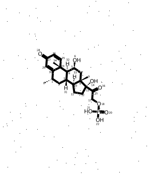 C[C@H]1C[C@@H]2[C@H]([C@@H](O)C[C@@]3(C)[C@H]2CC[C@]3(O)C(=O)COP(=O)(O)O)[C@@]2(C)C=CC(=O)C=C12